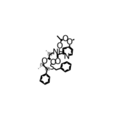 COc1ccnc(C(=O)N[C@@H](C)C(=O)O[C@@H](C)[C@H](SCc2ccccc2)c2ccccc2)c1OC(C)=O